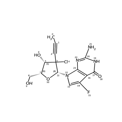 CC#CC1(Cl)[C@@H](O)[C@@H](CO)O[C@H]1n1cc(F)c2c(=O)[nH]c(N)nc21